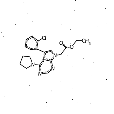 CCOC(=O)Cn1cc(-c2ccccc2Cl)c2c(N3CCCC3)ncnc21